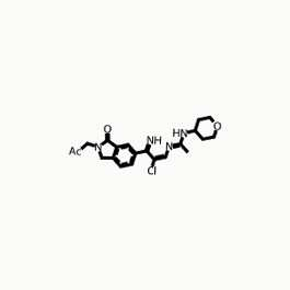 CC(=O)CN1Cc2ccc(C(=N)/C(Cl)=C\N=C(/C)NC3CCOCC3)cc2C1=O